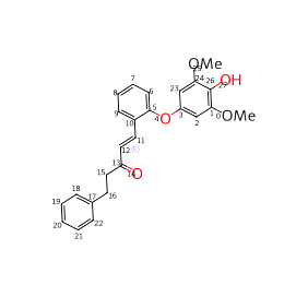 COc1cc(Oc2ccccc2/C=C/C(=O)CCc2ccccc2)cc(OC)c1O